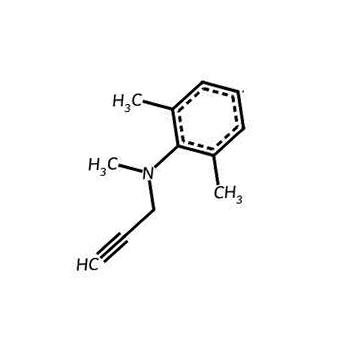 C#CCN(C)c1c(C)c[c]cc1C